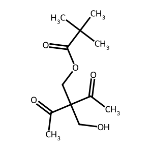 CC(=O)C(CO)(COC(=O)C(C)(C)C)C(C)=O